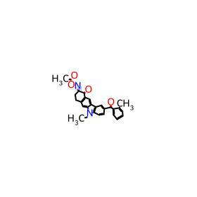 CCn1c2ccc(C(=O)c3ccccc3C)cc2c2cc3c(cc21)CC/C(=N\OC(C)=O)C3=O